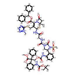 COC(=O)C(COC(=O)Nc1ccccc1C1CN(C(=O)NCC(=O)N[C@@H]2S[C@H]3CC(=O)N3C(C(=O)OC(c3ccccc3)c3ccccc3)=C2CSc2nnnn2C)C(=O)N1S(C)(=O)=O)(c1ccccc1)c1ccccc1NC(=O)OC(C)(C)C